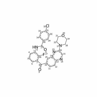 O=C(Nc1cccc(C(=O)c2ccc3ncc(N4CCOCC4)nc3c2)c1F)c1ccc(Cl)cc1